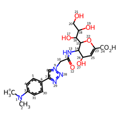 CN(C)c1ccc(-c2cn(CC(=O)NC3C(C(O)C(O)CO)OC(C(=O)O)=C[C@H]3O)nn2)cc1